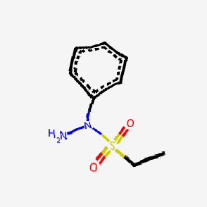 CCS(=O)(=O)N(N)c1ccccc1